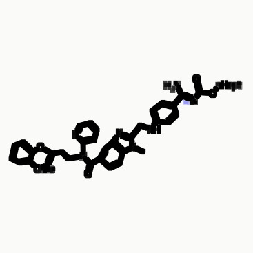 CCCCCCCOC(=O)/N=C(\N)c1ccc(NCc2nc3cc(C(=O)N(CCC(=O)Oc4ccccc4OC)c4ccccn4)ccc3n2C)cc1